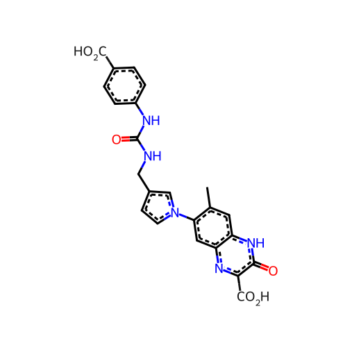 Cc1cc2[nH]c(=O)c(C(=O)O)nc2cc1-n1ccc(CNC(=O)Nc2ccc(C(=O)O)cc2)c1